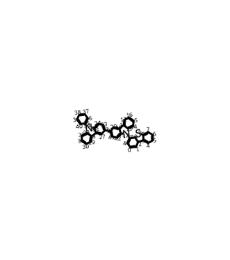 C1=CC2c3ccccc3SC2C(n2c3ccccc3c3cc(-c4ccc5c(c4)c4ccccc4n5-c4ccccc4)ccc32)=C1